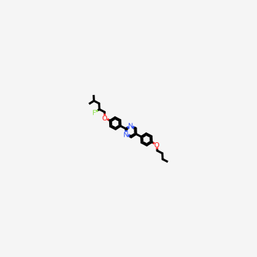 CCCCOc1ccc(-c2cnc(-c3ccc(OCC(F)CC(C)C)cc3)nc2)cc1